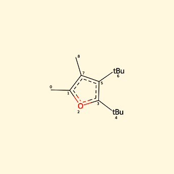 Cc1oc(C(C)(C)C)c(C(C)(C)C)c1C